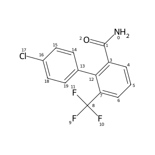 NC(=O)c1cccc(C(F)(F)F)c1-c1ccc(Cl)cc1